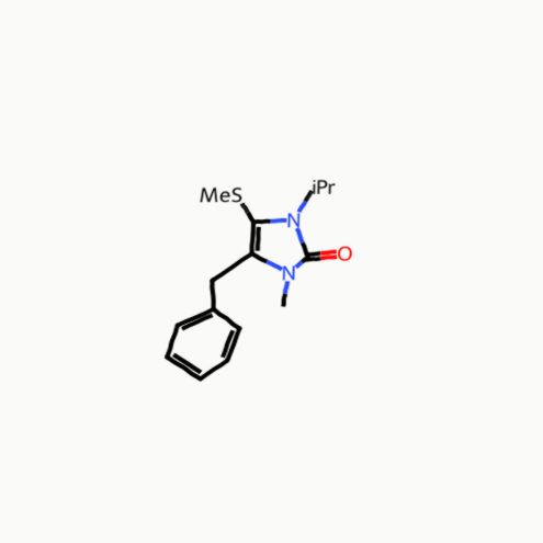 CSc1c(Cc2ccccc2)n(C)c(=O)n1C(C)C